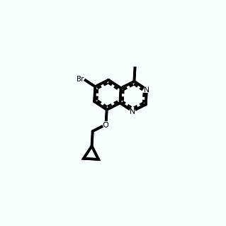 Cc1ncnc2c(OCC3CC3)cc(Br)cc12